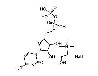 C[N+](C)(C)CCO.Nc1ccn([C@@H]2O[C@H](COP(=O)(O)OP(=O)(O)O)[C@@H](O)[C@H]2O)c(=O)n1.[NaH]